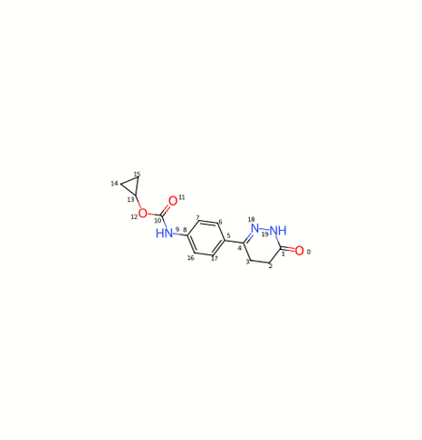 O=C1CCC(c2ccc(NC(=O)OC3CC3)cc2)=NN1